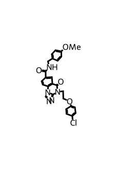 COc1ccc(CNC(=O)c2ccc3c(c2)c(=O)n(CCOc2ccc(Cl)cc2)c2nncn32)cc1